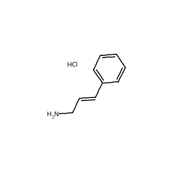 Cl.NC/C=C/c1ccccc1